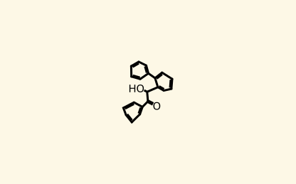 O=C(c1ccccc1)C(O)c1ccccc1-c1ccccc1